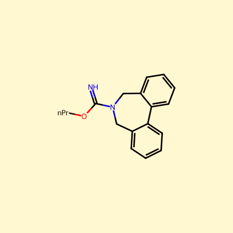 CCCOC(=N)N1Cc2ccccc2-c2ccccc2C1